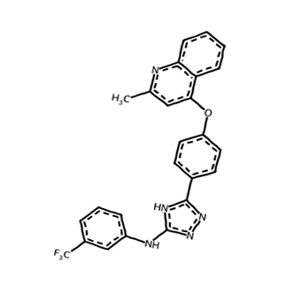 Cc1cc(Oc2ccc(-c3nnc(Nc4cccc(C(F)(F)F)c4)[nH]3)cc2)c2ccccc2n1